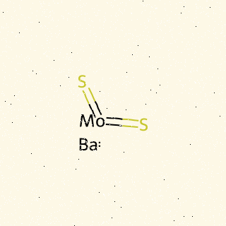 [Ba].[S]=[Mo]=[S]